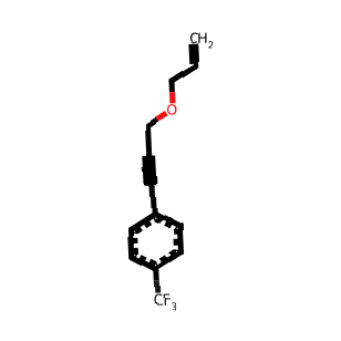 C=CCOCC#Cc1ccc(C(F)(F)F)cc1